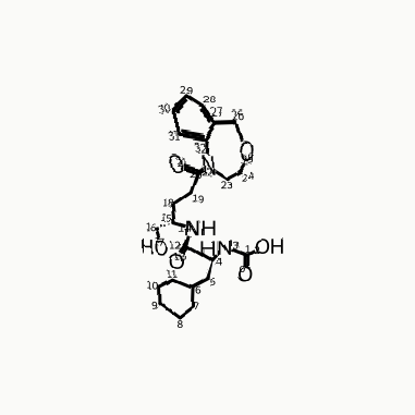 O=C(O)N[C@@H](CC1CCCCC1)C(=O)N[C@H](CO)CCC(=O)N1CCOCc2ccccc21